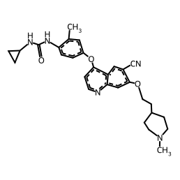 Cc1cc(Oc2ccnc3cc(OCCC4CCN(C)CC4)c(C#N)cc23)ccc1NC(=O)NC1CC1